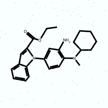 CCOC(=O)c1cc2ccccc2n1-c1ccc(N(C)C2CCCCC2)c(N)c1